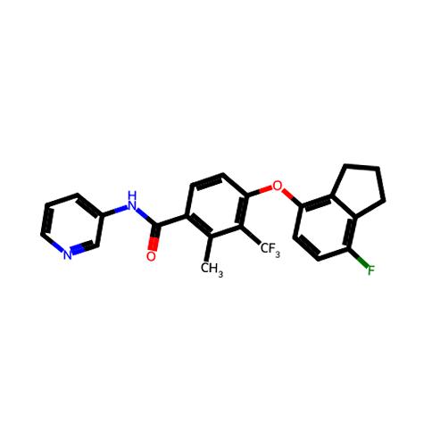 Cc1c(C(=O)Nc2cccnc2)ccc(Oc2ccc(F)c3c2CCC3)c1C(F)(F)F